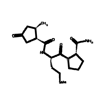 CSCC[C@H](NC(=O)[C@@H]1CC(=O)C[C@@H]1C)C(=O)N1CCC[C@H]1C(N)=O